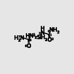 NC(=O)N[SiH2]NC(N)=O